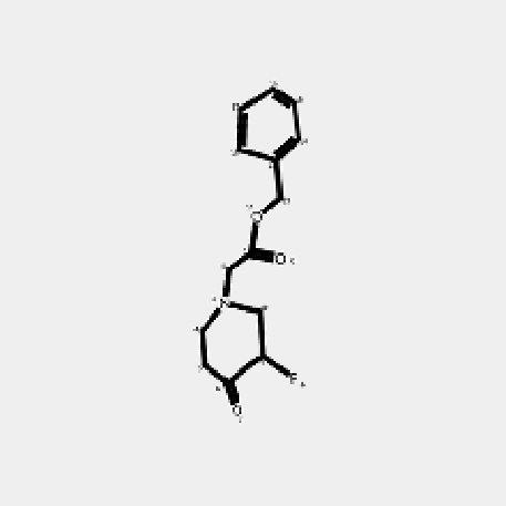 O=C(CN1CCC(=O)C(F)C1)OCc1ccccc1